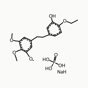 CCOc1ccc(CCc2cc(OC)c(OC)c(OC)c2)cc1O.O=P(O)(O)O.[NaH]